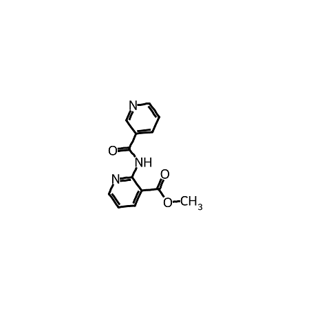 COC(=O)c1cccnc1NC(=O)c1cccnc1